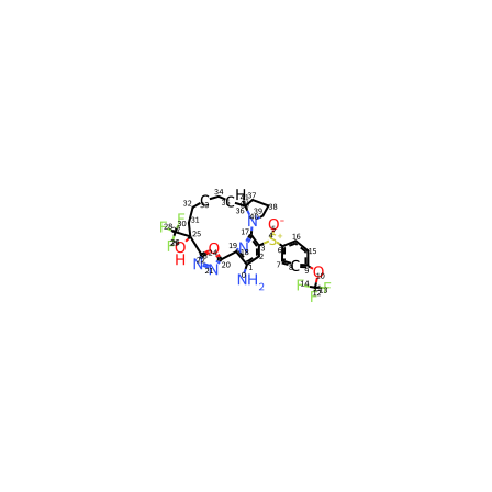 Nc1cc([S+]([O-])c2ccc(OC(F)(F)F)cc2)c2nc1-c1nnc(o1)C(O)(C(F)(F)F)CCCCC[C@@H]1CCCN21